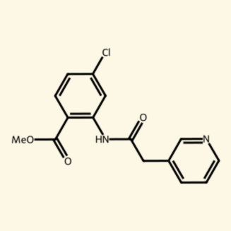 COC(=O)c1ccc(Cl)cc1NC(=O)Cc1cccnc1